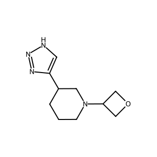 c1[nH]nnc1C1CCCN(C2COC2)C1